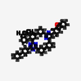 CC1(C)c2ccccc2-c2c(-c3nc(-c4ccc(-c5ccccc5)cc4)nc(-c4cccc(-c5cccc(-c6cc(-c7ccc8c(c7)oc7ccccc78)nc(-c7ccccc7)n6)c5)c4)n3)cccc21